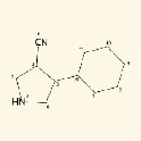 N#CC1CNCC1C1CCCCC1